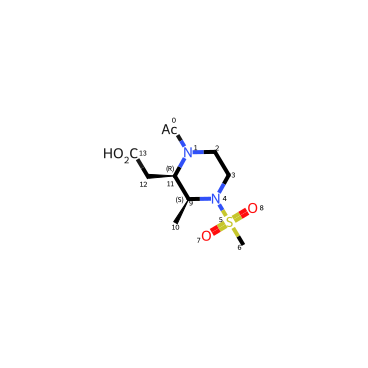 CC(=O)N1CCN(S(C)(=O)=O)[C@@H](C)[C@H]1CC(=O)O